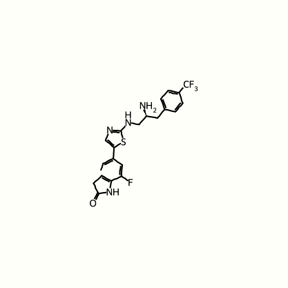 C/C=C(\C=C(\F)C1=CCC(=O)N1)c1cnc(NC[C@@H](N)Cc2ccc(C(F)(F)F)cc2)s1